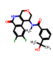 CN(C(=O)c1cccc(C(C)(C)O)c1)C1COCc2[nH]c(=O)c3cc(F)c(F)cc3c21